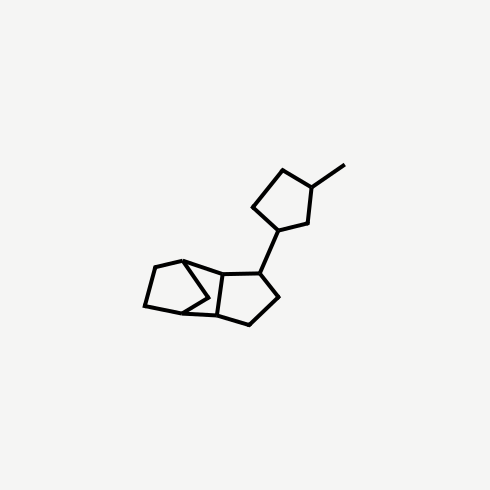 CC1CCC(C2CCC3C4CCC(C4)C23)C1